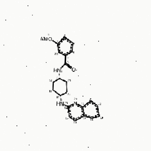 COc1cccc(C(=O)N[C@H]2CC[C@@H](Nc3ccc4ccccc4n3)CC2)c1